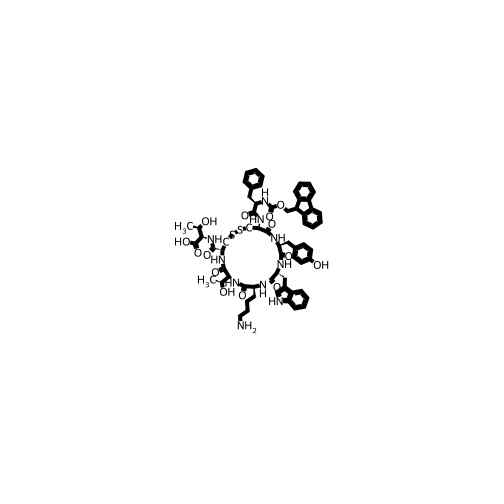 C[C@@H](O)[C@H](NC(=O)[C@@H]1CSSC[C@H](NC(=O)[C@@H](Cc2ccccc2)NC(=O)OCC2c3ccccc3-c3ccccc32)C(=O)N[C@@H](Cc2ccc(O)cc2)C(=O)N[C@H](Cc2c[nH]c3ccccc23)C(=O)N[C@@H](CCCCN)C(=O)N[C@@H]([C@@H](C)O)C(=O)N1)C(=O)O